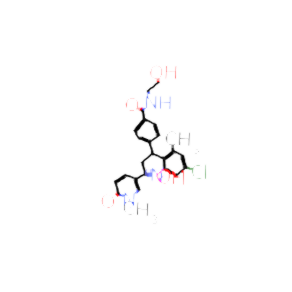 Cc1cc(Cl)ccc1C(C/C(=N\O)c1ccc(=O)n(C)c1)c1ccc(C(=O)NCCO)cc1